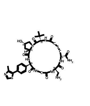 Cc1ncsc1-c1ccc([C@H]2NC(=O)[C@@H]3C[C@H](O)CN3C(=O)[C@H](C(C)(C)C)NC(=O)CSC[C@H](C(N)=O)NC(=O)[C@@H](CN)NC(=O)CNC2=O)cc1